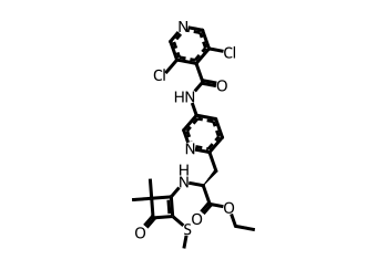 CCOC(=O)[C@H](Cc1ccc(NC(=O)c2c(Cl)cncc2Cl)cn1)NC1=C(SC)C(=O)C1(C)C